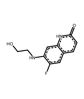 O=c1ccc2cc(F)c(NCCO)cc2[nH]1